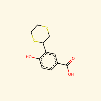 O=C(O)c1ccc(O)c(C2CSCCS2)c1